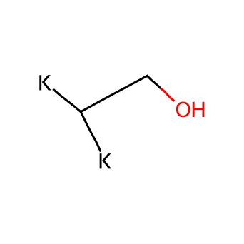 OC[CH]([K])[K]